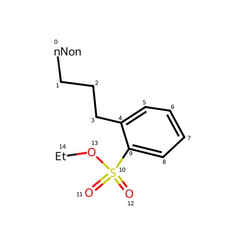 CCCCCCCCCCCCc1ccccc1S(=O)(=O)OCC